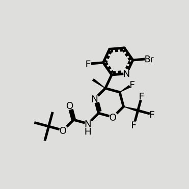 CC(C)(C)OC(=O)NC1=N[C@](C)(c2nc(Br)ccc2F)[C@@H](F)[C@@H](C(F)(F)F)O1